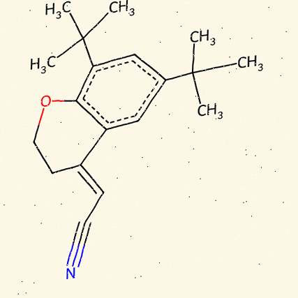 CC(C)(C)c1cc2c(c(C(C)(C)C)c1)OCCC2=CC#N